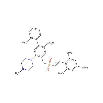 COc1cc(OC)c(/C=C/S(=O)(=O)Cc2cc(C(=O)O)c(-c3ccccc3OC)cc2N2CCN(C)CC2)c(OC)c1